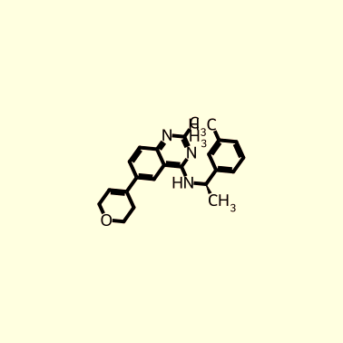 Cc1cccc([C@@H](C)Nc2nc(C)nc3ccc(C4=CCOCC4)cc23)c1